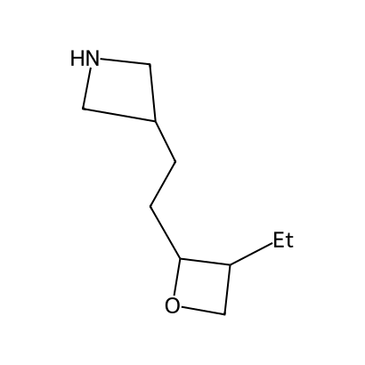 CCC1COC1CCC1CNC1